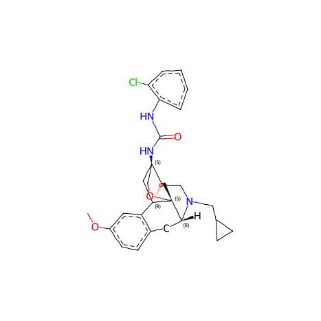 COc1ccc2c(c1)[C@]13CCN(CC4CC4)[C@H](C2)[C@]12CC[C@@](NC(=O)Nc1ccccc1Cl)(CO2)C3